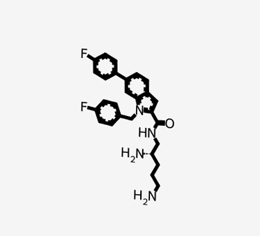 NCCC[C@H](N)CNC(=O)c1cc2ccc(-c3ccc(F)cc3)cc2n1Cc1ccc(F)cc1